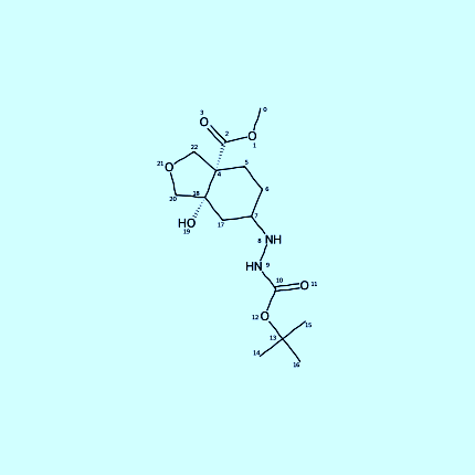 COC(=O)[C@]12CCC(NNC(=O)OC(C)(C)C)C[C@@]1(O)COC2